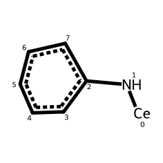 [Ce][NH]c1ccccc1